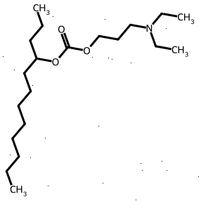 CCCCCCCCC(CCC)OC(=O)OCCCN(CC)CC